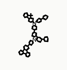 CC1(C)c2ccccc2-c2ccc(N(c3ccc(-c4ccccc4)cc3)c3ccc(-c4ccc5c(c4)c4cc(-c6ccccc6)ccc4n5-c4ccc(-c5ccc6c7ccccc7c7ccccc7c6c5)cc4)cc3)cc21